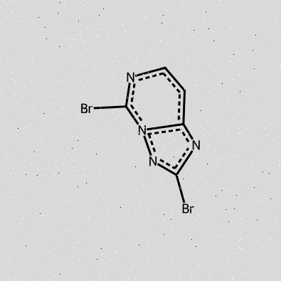 Brc1nc2ccnc(Br)n2n1